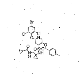 Cc1ccc(COc2cnc(Oc3c(Cl)cc(Br)cc3Cl)cc2S(=O)(=O)NC2(CNC(=O)C3CC3)CC2)cc1